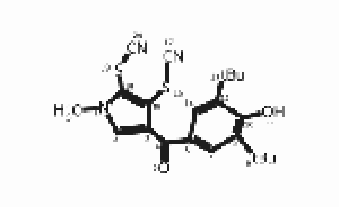 Cn1cc(C(=O)c2cc(C(C)(C)C)c(O)c(C(C)(C)C)c2)c(SC#N)c1SC#N